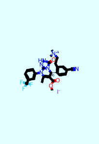 COC(=O)C1=C(C)N(c2cccc(C(F)(F)F)c2)c2n[nH]c(=O)n2[C@@H]1c1ccc(C#N)cc1CC[N+](C)(C)C.[I-]